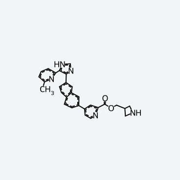 Cc1cccc(-c2[nH]cnc2-c2ccc3ccc(-c4ccnc(C(=O)OCC5CNC5)c4)cc3c2)n1